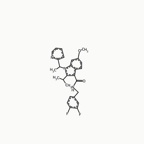 COc1ccc2c(C(=O)NCc3ccc(F)c(F)c3)c(C(C)C)n(C(C)c3ccccn3)c2c1